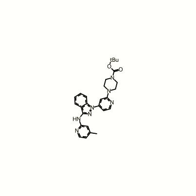 Cc1ccnc(Nc2nn(-c3ccnc(N4CCN(C(=O)OC(C)(C)C)CC4)c3)c3ccccc23)c1